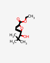 CCOC(=O)c1ccc(C(O)C(C)(C)C)o1